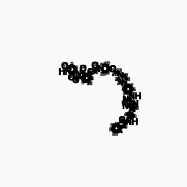 O=C1CC[C@H](N2C(=O)c3cccc(OCC(=O)N4CCC(OCCN5CCN(c6ccc(Nc7ncnc8c7ncn8C7CC(NC(=O)Cc8ccccc8)C7)cc6)CC5)CC4)c3C2=O)C(=O)N1